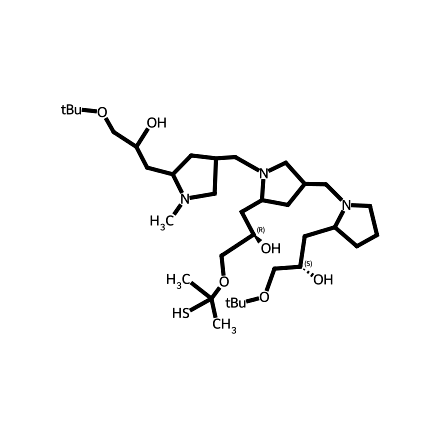 CN1CC(CN2CC(CN3CCCC3C[C@H](O)COC(C)(C)C)CC2C[C@@H](O)COC(C)(C)S)CC1CC(O)COC(C)(C)C